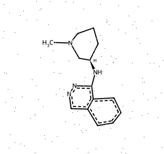 CN1CCC[C@@H](Nc2nncc3ccccc23)C1